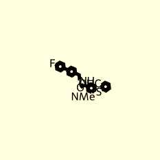 CNc1cc(C(=O)NCCc2ccc(-c3ccc(F)cc3)cc2)ccc1Sc1ccccc1C=O